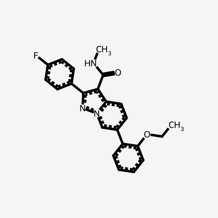 CCOc1ccccc1-c1ccc2c(C(=O)NC)c(-c3ccc(F)cc3)nn2c1